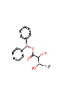 O=C(O)C(O)C(O)C(=O)OC(c1ccccc1)c1ccccc1